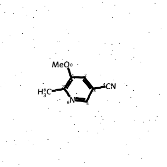 COc1cc(C#N)cnc1C